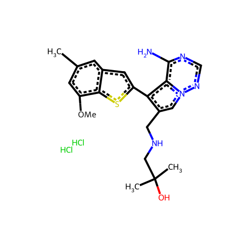 COc1cc(C)cc2cc(-c3c(CNCC(C)(C)O)cn4ncnc(N)c34)sc12.Cl.Cl